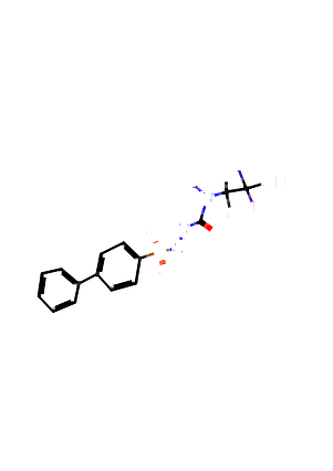 CC(I)(I)C(N(I)C(=O)NNS(=O)(=O)c1ccc(-c2ccccc2)cc1)(C(F)(F)F)C(F)(F)F